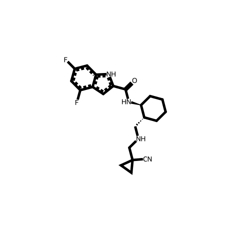 N#CC1(CNC[C@H]2CCCC[C@@H]2NC(=O)c2cc3c(F)cc(F)cc3[nH]2)CC1